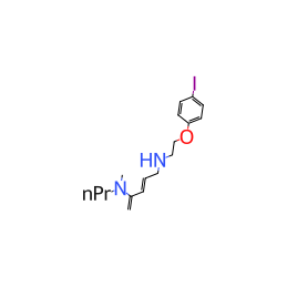 C=C(/C=C/CNCCOc1ccc(I)cc1)N(C)CCC